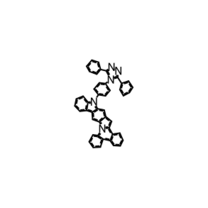 c1ccc(-c2nnc(-c3ccccc3)n2-c2ccc(-n3c4ccccc4c4cc5c(cc43)cc3c4ccccc4c4ccccc4n53)cc2)cc1